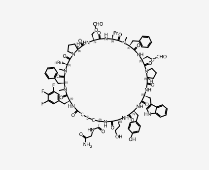 CCCC[C@H]1C(=O)N2CCC[C@@H]2C(=O)N[C@@H](COC=O)C(=O)N[C@@H](C(C)C)C(=O)N(C)[C@@H](Cc2ccccc2)C(=O)N[C@@H](COC=O)C(=O)N2CCC[C@@H]2C(=O)N[C@@H](Cc2c[nH]c3ccccc23)C(=O)N[C@@H](Cc2ccc(O)cc2)C(=O)N[C@@H](CCO)C(=O)N[C@H](C(=O)NCC(N)=O)CSCC(=O)N[C@@H](Cc2cc(F)c(F)c(F)c2)C(=O)N(C)[C@@H](Cc2ccccc2)C(=O)N1C